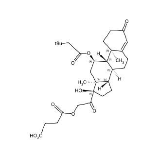 CC(C)(C)CC(=O)O[C@@H]1C[C@@]2(C)[C@@H](CC[C@]2(O)C(=O)COC(=O)CCC(=O)O)[C@@H]2CCC3=CC(=O)CC[C@]3(C)[C@H]21